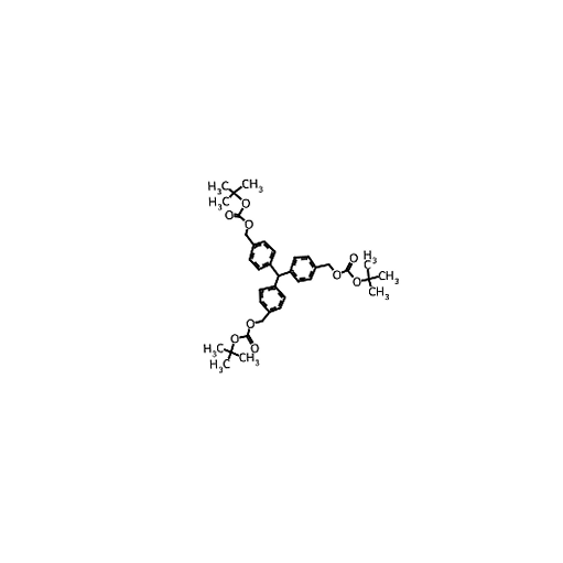 CC(C)(C)OC(=O)OCc1ccc(C(c2ccc(COC(=O)OC(C)(C)C)cc2)c2ccc(COC(=O)OC(C)(C)C)cc2)cc1